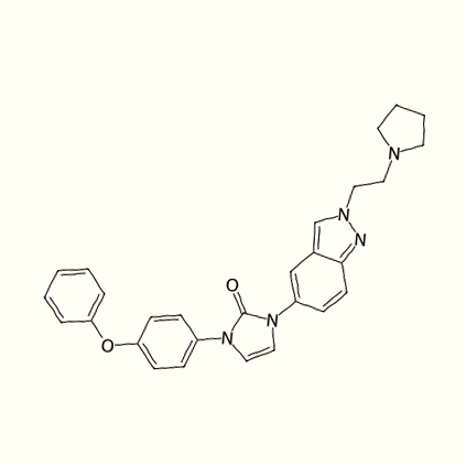 O=c1n(-c2ccc(Oc3ccccc3)cc2)ccn1-c1ccc2nn(CCN3CCCC3)cc2c1